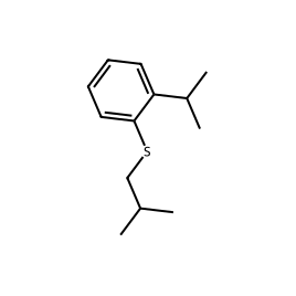 CC(C)CSc1ccccc1C(C)C